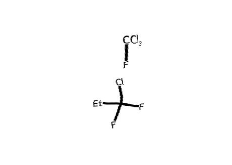 CCC(F)(F)Cl.FC(Cl)(Cl)Cl